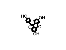 O=C1c2cc(O)ccc2-c2c(-c3ccc(O)cc3)oc3cc(O)cc1c23